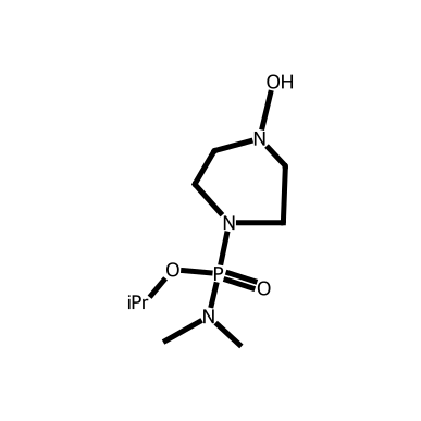 CC(C)OP(=O)(N(C)C)N1CCN(O)CC1